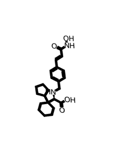 O=C(C=Cc1ccc(CN[C@@H](C(=O)O)C2(C3CCCC3)CCCCC2)cc1)NO